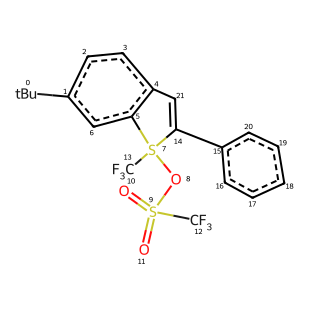 CC(C)(C)c1ccc2c(c1)S(OS(=O)(=O)C(F)(F)F)(C(F)(F)F)C(c1ccccc1)=C2